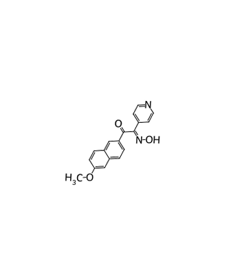 COc1ccc2cc(C(=O)C(=NO)c3ccncc3)ccc2c1